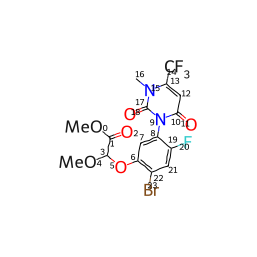 COC(=O)C(OC)Oc1cc(-n2c(=O)cc(C(F)(F)F)n(C)c2=O)c(F)cc1Br